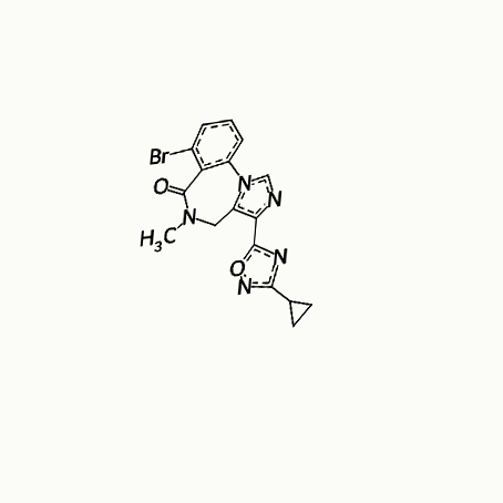 CN1Cc2c(-c3nc(C4CC4)no3)ncn2-c2cccc(Br)c2C1=O